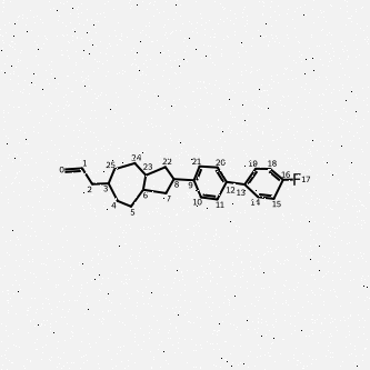 C=CCC1CCC2CC(c3ccc(-c4ccc(F)cc4)cc3)CC2CC1